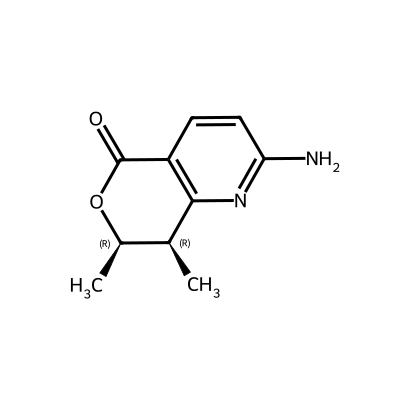 C[C@@H]1c2nc(N)ccc2C(=O)O[C@@H]1C